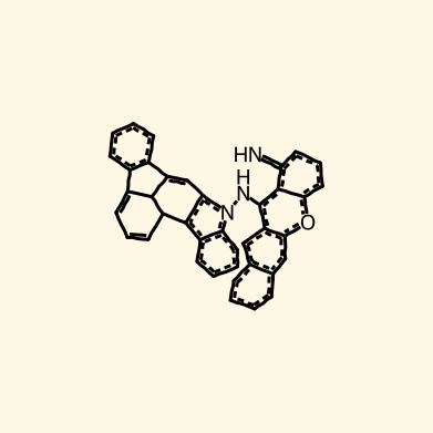 N=c1cccc2oc3cc4ccccc4cc3c(Nn3c4c(c5ccccc53)C3C=CC=C5c6ccccc6C(=C4)C53)c1-2